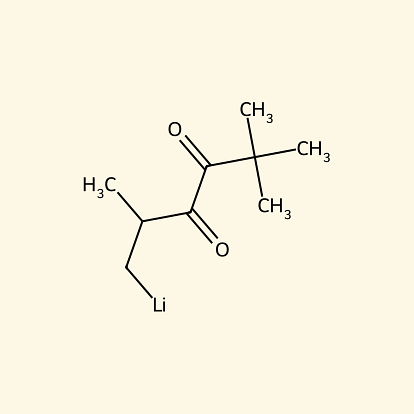 [Li][CH2]C(C)C(=O)C(=O)C(C)(C)C